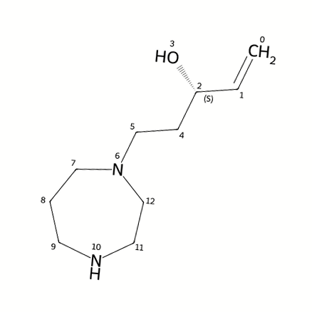 C=C[C@@H](O)CCN1CCCNCC1